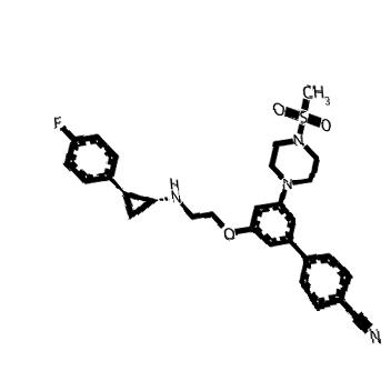 CS(=O)(=O)N1CCN(c2cc(OCCN[C@@H]3C[C@H]3c3ccc(F)cc3)cc(-c3ccc(C#N)cc3)c2)CC1